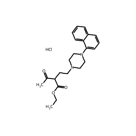 CCOC(=O)C(CCN1CCN(c2cccc3ccccc23)CC1)C(C)=O.Cl